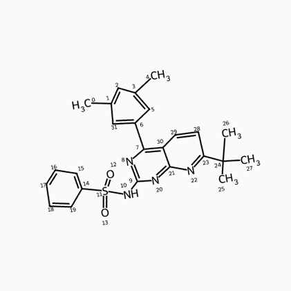 Cc1cc(C)cc(-c2nc(NS(=O)(=O)c3ccccc3)nc3nc(C(C)(C)C)ccc23)c1